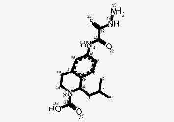 CC(C)CC1c2ccc(NC(=O)C(=S)NN)cc2CCN1C(=O)O